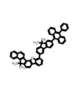 CC1(C)c2ccc(-c3cccc4c3oc3c5c(ccc34)C(C)(C)c3c-5ccc4ccccc34)cc2-c2ccc(-c3c4ccccc4c(-c4ccccc4)c4ccccc34)cc21